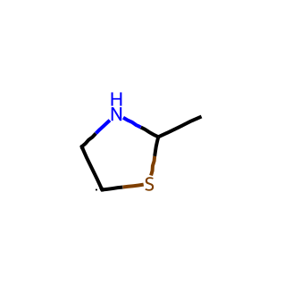 CC1NC[CH]S1